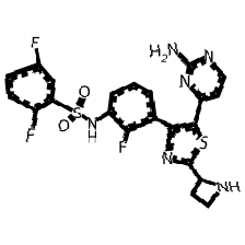 Nc1nccc(-c2sc(C3CCN3)nc2-c2cccc(NS(=O)(=O)c3cc(F)ccc3F)c2F)n1